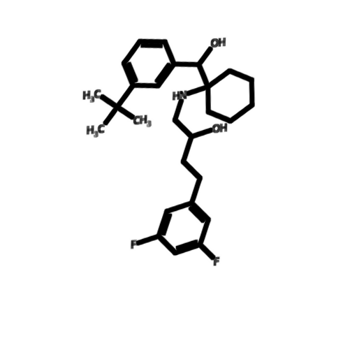 CC(C)(C)c1cccc(C(O)C2(NCC(O)CCc3cc(F)cc(F)c3)CCCCC2)c1